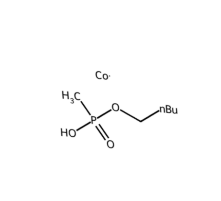 CCCCCOP(C)(=O)O.[Co]